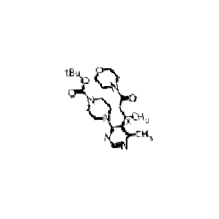 Cc1ncnc(N2CCN(C(=O)OC(C)(C)C)CC2)c1[C@H](C)CC(=O)N1CCOCC1